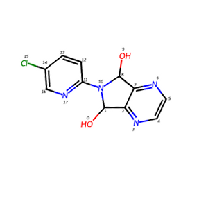 OC1c2nccnc2C(O)N1c1ccc(Cl)cn1